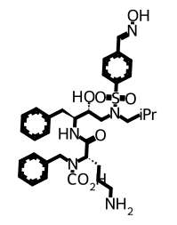 CC(C)CN(C[C@@H](O)[C@H](Cc1ccccc1)NC(=O)[C@H](CCCN)N(Cc1ccccc1)C(=O)O)S(=O)(=O)c1ccc(/C=N/O)cc1